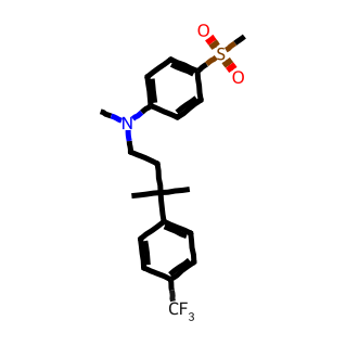 CN(CCC(C)(C)c1ccc(C(F)(F)F)cc1)c1ccc(S(C)(=O)=O)cc1